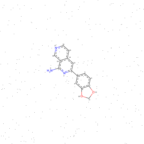 Nc1nc(-c2ccc3c(c2)OCO3)cc2ccncc12